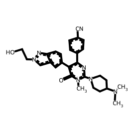 CN(C)C1CCN(c2nc(-c3ccc(C#N)cc3)c(-c3ccc4nn(CCO)cc4c3)c(=O)n2C)CC1